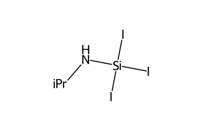 CC(C)N[Si](I)(I)I